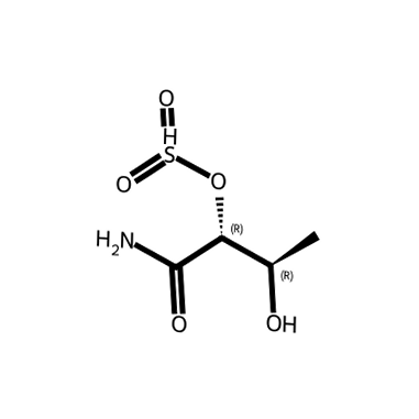 C[C@@H](O)[C@@H](O[SH](=O)=O)C(N)=O